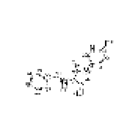 Fc1ccc(N2C[C@H](Cl)C(NCc3ccccc3)C2F)cn1